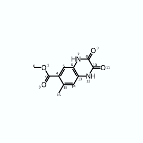 COC(=O)c1cc2[nH]c(=O)c(=O)[nH]c2cc1C